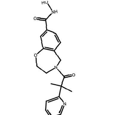 CC(C)(C(=O)N1CCOc2cc(C(=O)NO)ccc2C1)c1ccccn1